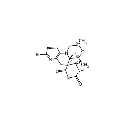 C[C@@H]1CN2c3ccc(Br)nc3CC3(C(=O)NC(=O)NC3=O)[C@H]2[C@H](C)O1